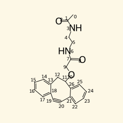 CC(=O)NCCNC(=O)COC1Cc2ccccc2C#Cc2ccccc21